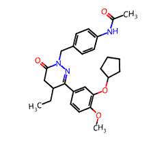 CCC1CC(=O)N(Cc2ccc(NC(C)=O)cc2)N=C1c1ccc(OC)c(OC2CCCC2)c1